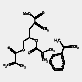 C=C(C)C(=O)OCC(CC(=C)C(=O)OC)OC(=O)C(=C)C.C=C(C)c1ccccc1